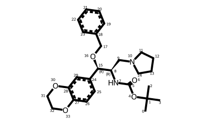 CC(C)(C)OC(=O)N[C@H](CN1CCCC1)[C@H](OCc1ccccc1)c1ccc2c(c1)OCCO2